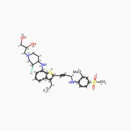 COc1cc(S(C)(=O)=O)ccc1NCC#Cc1sc2c(NC3CCN(CC(O)CO)CC3F)cccc2c1CC(F)(F)F